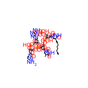 C#CCCCCC#Cc1cn([C@H]2C[C@@H](OP(=O)(O)OC[C@H]3O[C@@H](n4cc(C)c(=O)[nH]c4=O)C[C@H]3OP(=O)(O)OC[C@H]3O[C@@H](n4ccc(N)nc4=O)C[C@H]3OP(=O)(O)OC[C@H]3O[C@@H](n4cnc5c(N)ncnc54)C[C@H]3O)[C@@H](COP(=O)(O)O)O2)c(=O)[nH]c1=O